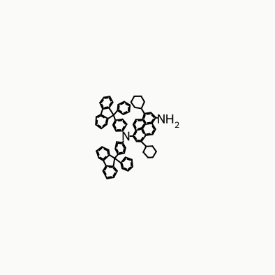 Nc1cc(C2CCCCC2)c2ccc3c(N(c4ccc(C5(c6ccccc6)c6ccccc6-c6ccccc65)cc4)c4ccc(C5(c6ccccc6)c6ccccc6-c6ccccc65)cc4)cc(C4CCCCC4)c4ccc1c2c43